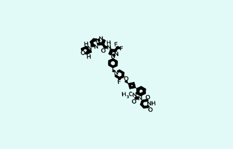 Cn1c(=O)n(C2CCC(=O)NC2=O)c2cccc([C@H]3C[C@H](COC4CCN(C[C@H]5CC[C@H](n6cc(NC(=O)c7cnn8ccc(N9C[C@H]%10C[C@@H]9CO%10)nc78)c(C(F)F)n6)CC5)CC4F)C3)c21